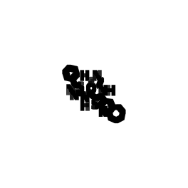 NCCNc1c(C(=O)Nc2nnc(-c3ccccc3)s2)sc2nc3c(cc12)CCCCC3